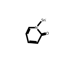 O=c1cccc[n]1[Sn]